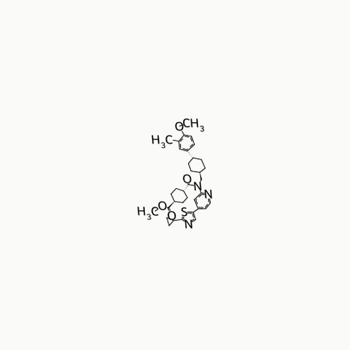 COc1ccc([C@H]2CC[C@H](CN(c3cc(-c4cnc(C5CC5)s4)ccn3)C(=O)[C@H]3CC[C@H](C(=O)OC)CC3)CC2)cc1C